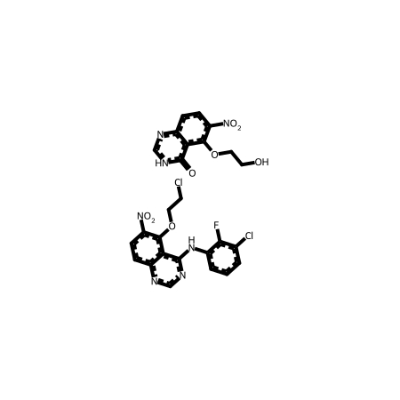 O=[N+]([O-])c1ccc2ncnc(Nc3cccc(Cl)c3F)c2c1OCCCl.O=c1[nH]cnc2ccc([N+](=O)[O-])c(OCCO)c12